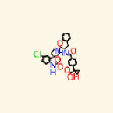 O=C1Nc2ccc(Cl)cc2C2(CCN(C(=O)C(Cc3ccccc3)NC(=O)c3ccc(C4(C(=O)O)CC4)cc3)C2)O1